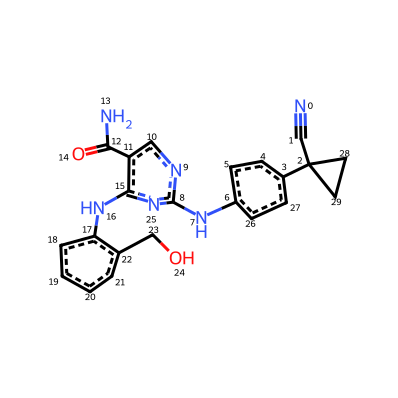 N#CC1(c2ccc(Nc3ncc(C(N)=O)c(Nc4ccccc4CO)n3)cc2)CC1